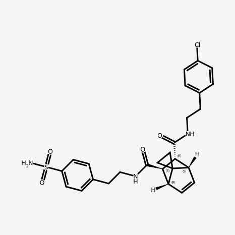 NS(=O)(=O)c1ccc(CCNC(=O)[C@H]2[C@H](C(=O)NCCc3ccc(Cl)cc3)[C@@H]3C=C[C@H]2C32CC2)cc1